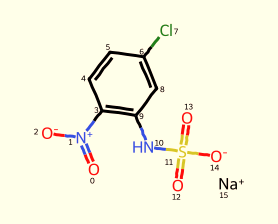 O=[N+]([O-])c1ccc(Cl)cc1NS(=O)(=O)[O-].[Na+]